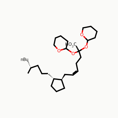 CCCC[C@@H](C)CCC[C@H]1CCC[C@@H]1C/C=C\CCC(OC1CCCCO1)(OC1CCCCO1)C(=O)O